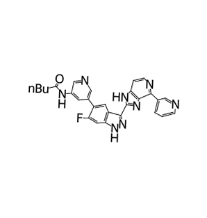 CCCCC(=O)Nc1cncc(-c2cc3c(-c4nc5c(-c6cccnc6)nccc5[nH]4)n[nH]c3cc2F)c1